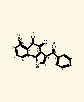 O=C(c1ccccc1)c1coc2c1C(=O)C(=O)c1c(Br)cccc1-2